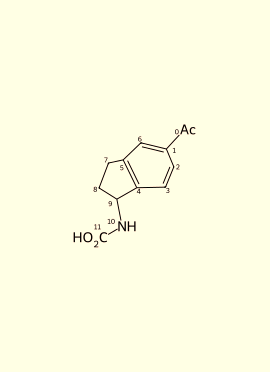 CC(=O)c1ccc2c(c1)CCC2NC(=O)O